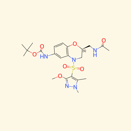 COc1nn(C)c(C)c1S(=O)(=O)N1C[C@H](CNC(C)=O)Oc2ccc(NC(=O)OC(C)(C)C)cc21